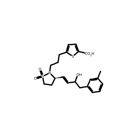 Cc1cccc(CC(O)/C=C/[C@H]2CCS(=O)(=O)N2CCCc2ccc(C(=O)O)s2)c1